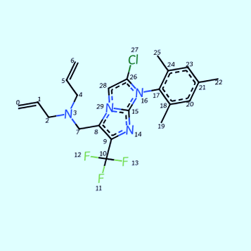 C=CCN(CC=C)Cc1c(C(F)(F)F)nc2n(-c3c(C)cc(C)cc3C)c(Cl)cn12